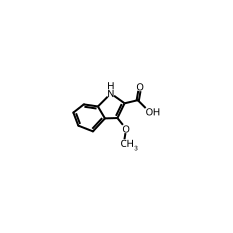 COc1c(C(=O)O)[nH]c2ccccc12